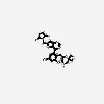 Cc1cc(Cl)cc(-c2ncnc3cc(CN4C(=O)CCC4=O)sc23)c1CC1CNCC2(COC2)O1